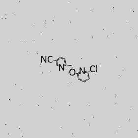 N#Cc1ccc(COc2cccc(Cl)n2)nc1